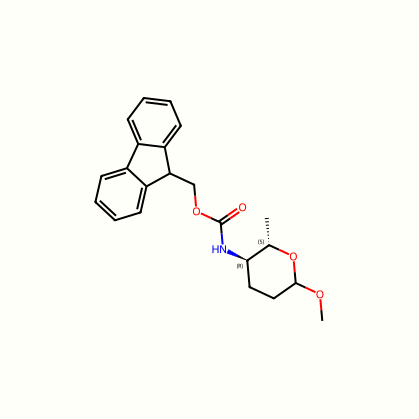 COC1CC[C@@H](NC(=O)OCC2c3ccccc3-c3ccccc32)[C@H](C)O1